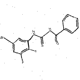 O=C(NC(=S)Nc1cc(Br)cc(F)c1F)c1ccccc1